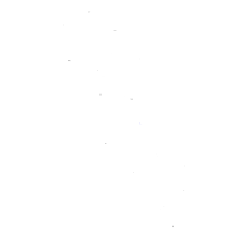 C/C(=C\c1ccc(O)cc1)c1ccc2c(c1)SC(C)(C)S2